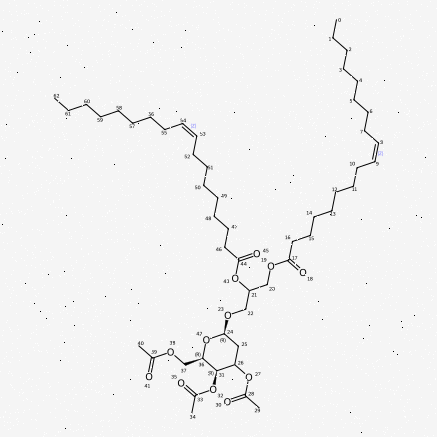 CCCCCCCC/C=C\CCCCCCCC(=O)OCC(CO[C@H]1CC(OC(C)=O)[C@@H](OC(C)=O)[C@@H](COC(C)=O)O1)OC(=O)CCCCCCC/C=C\CCCCCCCC